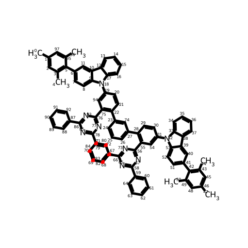 Cc1cc(C)c(-c2ccc3c(c2)c2ccccc2n3-c2ccc(-c3cccc(-c4ccc(-n5c6ccccc6c6cc(-c7c(C)cc(C)cc7C)ccc65)cc4-c4nc(-c5ccccc5)nc(-c5ccccc5)n4)c3)c(-c3nc(-c4ccccc4)nc(-c4ccccc4)n3)c2)c(C)c1